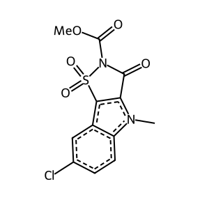 COC(=O)N1C(=O)c2c(c3cc(Cl)ccc3n2C)S1(=O)=O